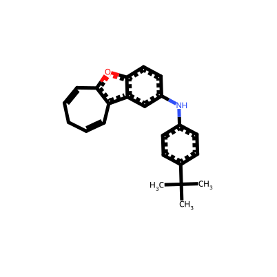 CC(C)(C)c1ccc(Nc2ccc3oc4c(c3c2)C=CCC=C4)cc1